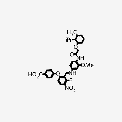 COc1cc(NCc2c(Oc3ccc(C(=O)O)cc3)ccc([N+](=O)[O-])c2F)ccc1NC(=O)COC1CCCC(C)C1C(C)C